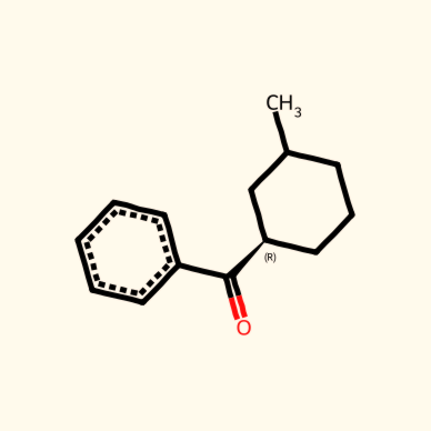 CC1CCC[C@@H](C(=O)c2ccccc2)C1